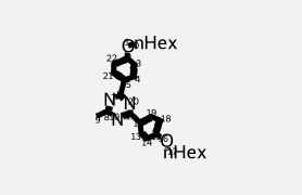 CCCCCCOc1ccc(-c2nc(C)nc(-c3ccc(OCCCCCC)cc3)n2)cc1